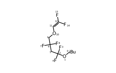 CCC(C)OC(F)(F)CC(F)(F)COC=C(F)F